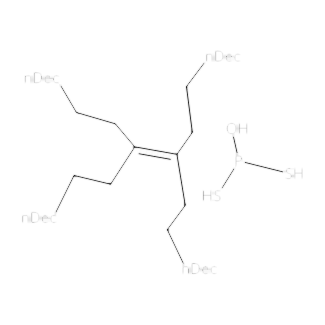 CCCCCCCCCCCCC(CCCCCCCCCCCC)=C(CCCCCCCCCCCC)CCCCCCCCCCCC.OP(S)S